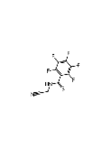 N#CCNC(=S)c1c(F)c(F)c(F)c(F)c1F